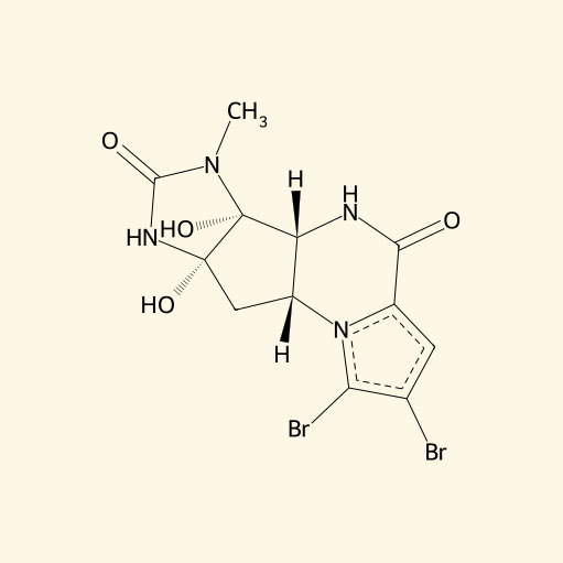 CN1C(=O)N[C@]2(O)C[C@@H]3[C@@H](NC(=O)c4cc(Br)c(Br)n43)[C@]12O